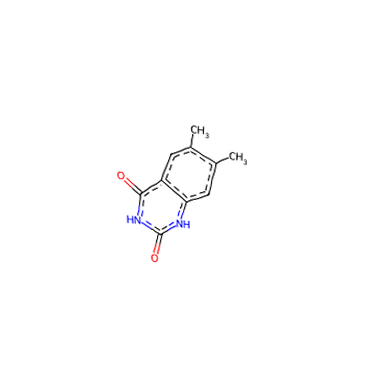 Cc1cc2[nH]c(=O)[nH]c(=O)c2cc1C